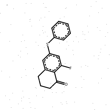 O=C1CCCc2cc(Sc3ccccc3)cc(F)c21